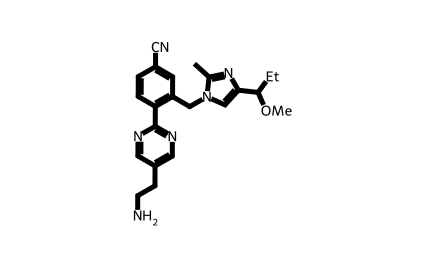 CCC(OC)c1cn(Cc2cc(C#N)ccc2-c2ncc(CCN)cn2)c(C)n1